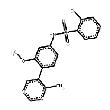 COc1cc(NS(=O)(=O)c2ccccc2Cl)ccc1-c1cncnc1C